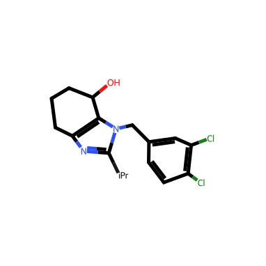 CC(C)c1nc2c(n1Cc1ccc(Cl)c(Cl)c1)C(O)CCC2